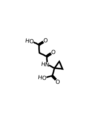 O=C(O)CC(=O)NC1(C(=O)O)CC1